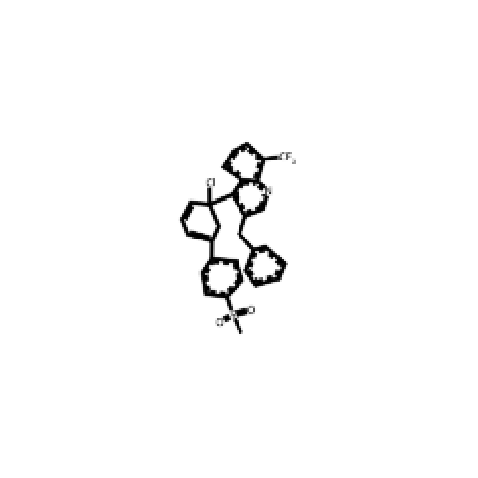 CS(=O)(=O)c1ccc(C2=CC=CC(Cl)(c3c(Cc4ccccc4)cnc4c(C(F)(F)F)cccc34)C2)cc1